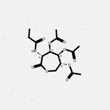 CCC(=O)N[C@H]1C(=O)OC[C@@H](OC(C)=O)[C@H](OC(C)=O)[C@@H]1OC(C)=O